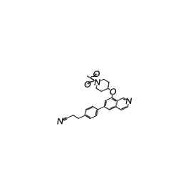 CS(=O)(=O)N1CCC(Oc2cc(-c3ccc(CCC#N)cc3)cc3ccncc23)CC1